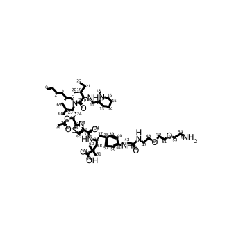 CCCCCCN(C(=O)[C@@H](NCC1CCCCN1C)[C@@H](C)CC)[C@H](C[C@@H](OC(C)=O)c1nc(C(=O)N[C@@H](Cc2ccc(NCC(=O)NCCOCCOCCN)cc2)CC(C)(C)C(=O)O)cs1)C(C)C